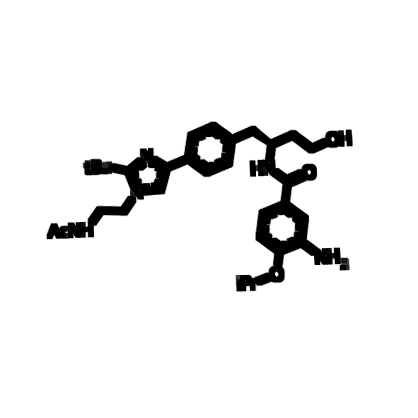 CC(=O)NCCn1cc(-c2ccc(C[C@@H](CCO)NC(=O)c3ccc(OC(C)C)c(N)c3)cc2)nc1C(C)(C)C